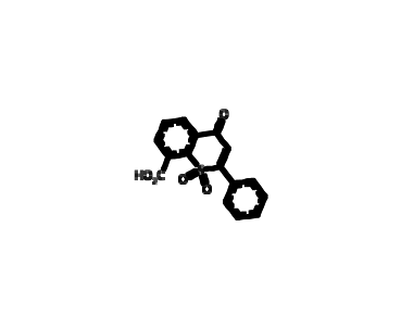 O=C(O)c1cccc2c1S(=O)(=O)C(c1ccccc1)=CC2=O